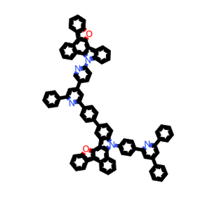 c1ccc(-c2cc(-c3ccccc3)nc(-c3ccc(-n4c5ccc(-c6ccc(-c7cc(-c8ccc(-n9c%10ccccc%10c%10c%11oc%12ccccc%12c%11c%11ccccc%11c%109)nc8)cc(-c8ccccc8)n7)cc6)cc5c5c6oc7ccccc7c6c6ccccc6c54)cc3)c2)cc1